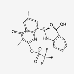 Cc1cc([C@@H](C)Nc2ccccc2C(=O)O)c2nc(OS(=O)(=O)C(F)(F)F)c(C)c(=O)n2c1